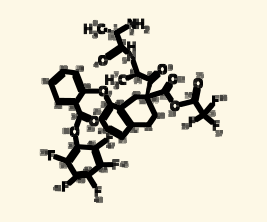 C[C@H](N)C(=O)N[C@H](C)C(=O)[C@@]1(C(=O)OC(=O)C(F)(F)F)CCc2cccc(Oc3ccccc3C(=O)Oc3c(F)c(F)c(F)c(F)c3F)c2C1